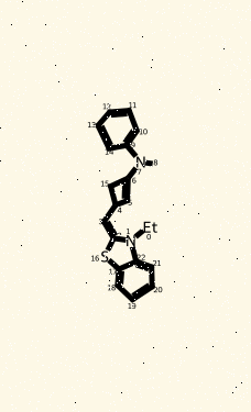 CCN1C(=CC2C=C(N(C)c3ccccc3)C2)Sc2ccccc21